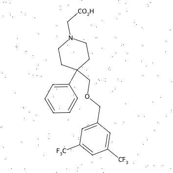 O=C(O)CN1CCC(COCc2cc(C(F)(F)F)cc(C(F)(F)F)c2)(c2ccccc2)CC1